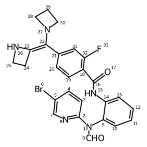 O=CN(c1ccc(Br)cn1)c1ccccc1NC(=O)c1ccc(C(=C2CCN2)N2CCC2)cc1F